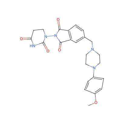 COc1ccc(N2CCN(Cc3ccc4c(c3)C(=O)N(N3CCC(=O)NC3=O)C4=O)CC2)cc1